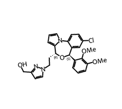 COc1cccc([C@H]2O[C@H](CCn3ccc(CO)n3)c3cccn3-c3ccc(Cl)cc32)c1OC